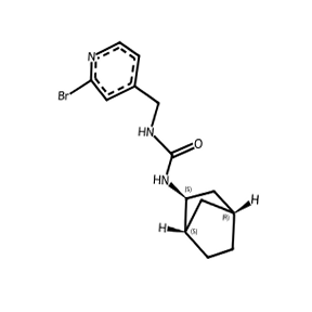 O=C(NCc1ccnc(Br)c1)N[C@H]1C[C@@H]2CC[C@H]1C2